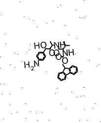 CC(NC(=O)C(NC(=O)OCC1c2ccccc2-c2ccccc21)C(C)C)C(=O)C(O)c1ccc(N)cc1